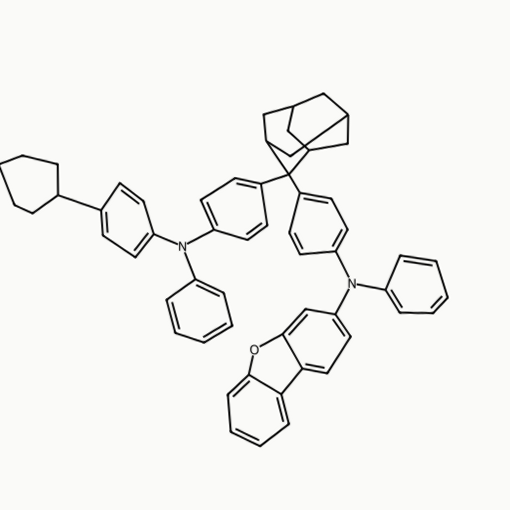 c1ccc(N(c2ccc(C3CCCCC3)cc2)c2ccc(C3(c4ccc(N(c5ccccc5)c5ccc6c(c5)oc5ccccc56)cc4)C4CC5CC(C4)CC3C5)cc2)cc1